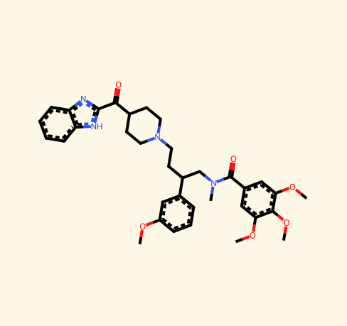 COc1cccc(C(CCN2CCC(C(=O)c3nc4ccccc4[nH]3)CC2)CN(C)C(=O)c2cc(OC)c(OC)c(OC)c2)c1